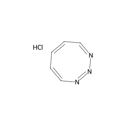 C1=CC=NN=NC=C1.Cl